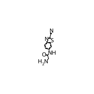 N#Cc1nc2ccc(NC(=O)CN)cc2s1